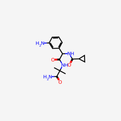 CC(C)(NC(=O)C(NC(=O)C1CC1)c1cccc(N)c1)C(N)=O